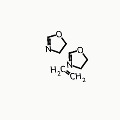 C1=NCCO1.C1=NCCO1.C=C